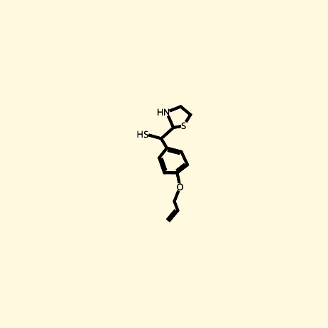 C=CCOc1ccc(C(S)C2NCCS2)cc1